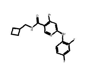 CC(C)c1cc(Nc2ccc(F)cc2F)ncc1C(=O)NCC1CCC1